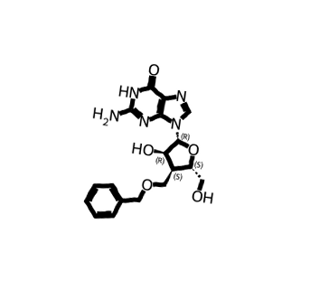 Nc1nc2c(ncn2[C@@H]2O[C@H](CO)[C@@H](COCc3ccccc3)[C@H]2O)c(=O)[nH]1